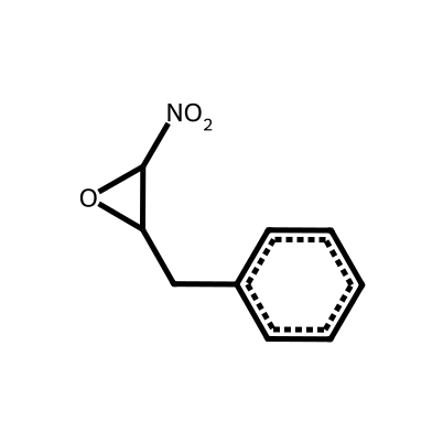 O=[N+]([O-])C1OC1Cc1ccccc1